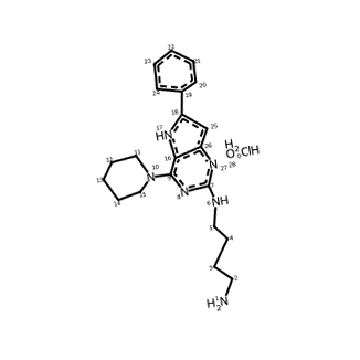 Cl.NCCCCNc1nc(N2CCCCC2)c2[nH]c(-c3ccccc3)cc2n1.O